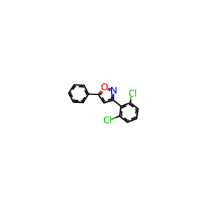 Clc1cccc(Cl)c1-c1cc(-c2ccccc2)on1